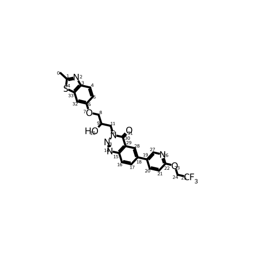 Cc1nc2ccc(OCC(O)Cn3nnc4ccc(-c5ccc(OCC(F)(F)F)nc5)cc4c3=O)cc2s1